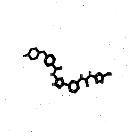 CN1CCN(Cc2ccc(C(=O)Nc3cc(-c4cccc(NC(=O)Nc5cc(C(C)(C)C)on5)c4)n[nH]3)cc2)CC1